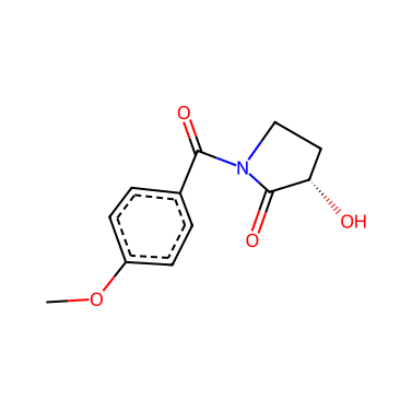 COc1ccc(C(=O)N2CC[C@H](O)C2=O)cc1